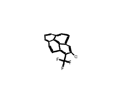 FC(F)(F)c1c(Cl)cc2ccc3cccc4ccc1c2c34